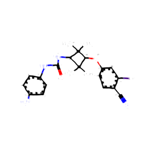 CC1(C)C(NC(=O)Nc2ccc(N)cc2)C(C)(C)C1Oc1ccc(C#N)c(I)c1